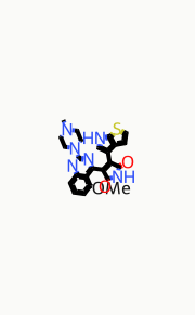 COc1cccc2nc(N3CCN(C)CC3)nc(C3=C(c4c[nH]c5sccc45)C(=O)NC3=O)c12